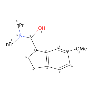 CCCN(CCC)C(O)C1CCc2ccc(OC)cc21